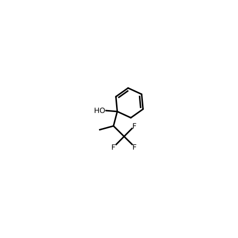 CC(C(F)(F)F)C1(O)C=CC=CC1